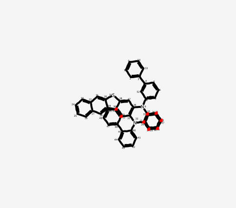 c1ccc(-c2cccc(N(c3ccccc3)c3cc4sc5cc6ccccc6cc5c4cc3N(c3ccccc3)c3ccccc3-c3ccccc3)c2)cc1